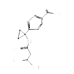 CC(C)CC(=O)NC1(c2ccc(C(=O)O)cc2)CC1